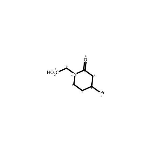 CC(C)C1CCN(CC(=O)O)C(=O)C1